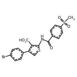 CS(=O)(=O)c1ccc(C(=O)Nc2scc(-c3ccc(Br)cc3)c2C(=O)O)cc1